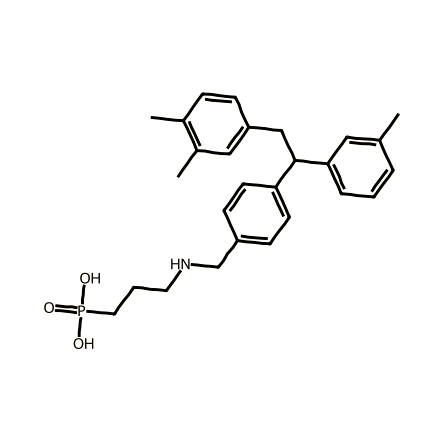 Cc1cccc(C(Cc2ccc(C)c(C)c2)c2ccc(CNCCCP(=O)(O)O)cc2)c1